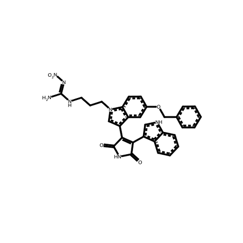 NC(=N[N+](=O)[O-])NCCCn1cc(C2=C(c3c[nH]c4ccccc34)C(=O)NC2=O)c2cc(OCc3ccccc3)ccc21